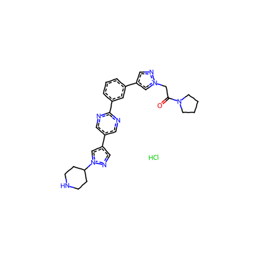 Cl.O=C(Cn1cc(-c2cccc(-c3ncc(-c4cnn(C5CCNCC5)c4)cn3)c2)cn1)N1CCCC1